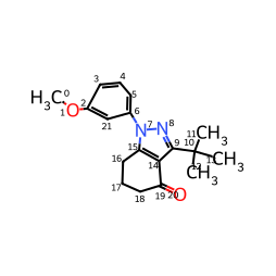 COc1cccc(-n2nc(C(C)(C)C)c3c2CCCC3=O)c1